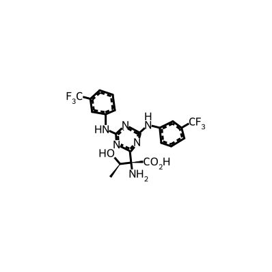 C[C@@H](O)[C@](N)(C(=O)O)c1nc(Nc2cccc(C(F)(F)F)c2)nc(Nc2cccc(C(F)(F)F)c2)n1